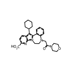 O=C(O)c1ccc2c(C3CCCCC3)c3n(c2n1)CCN(CC(=O)N1CCOCC1)c1ccccc1-3